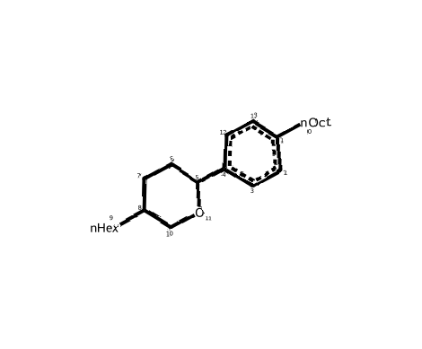 CCCCCCCCc1ccc(C2CCC(CCCCCC)CO2)cc1